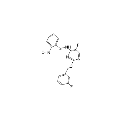 O=Nc1ccccc1SNc1nc(OCc2cccc(F)c2)ncc1F